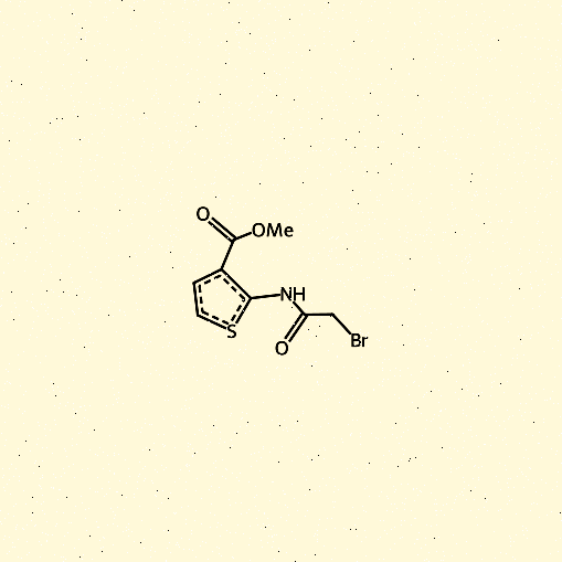 COC(=O)c1ccsc1NC(=O)CBr